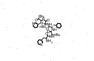 CCCC[C@H](NC(=O)[C@@H](N)Cc1cccnc1)C(=O)N[C@@H](Cc1ccccc1)C(=O)N[C@@](F)(CCCC)C(=O)N(C)[C@@H](Cc1cccnc1)C(=O)C(C)(C)C